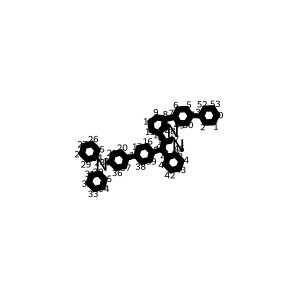 c1ccc(-c2ccc3c4cccc5c6c(-c7ccc(-c8ccc(N(c9ccccc9)c9ccccc9)cc8)cc7)c7ccccc7nc6n(c3c2)c45)cc1